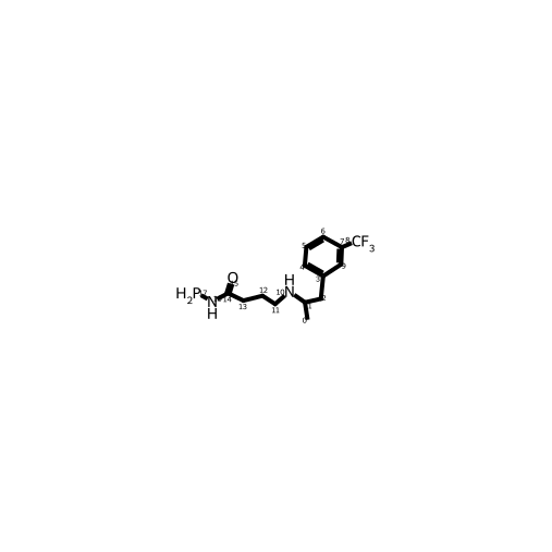 CC(Cc1cccc(C(F)(F)F)c1)NCCCC(=O)NP